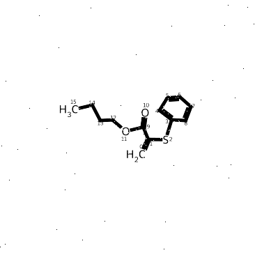 C=C(Sc1ccccc1)C(=O)OCCCC